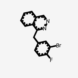 Fc1ccc(Cc2nncc3ccccc23)cc1Br